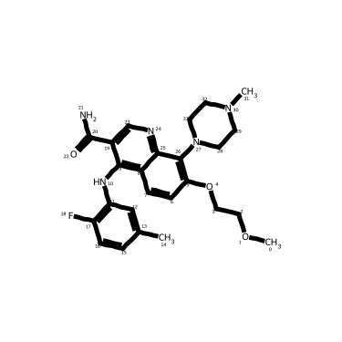 COCCOc1ccc2c(Nc3cc(C)ccc3F)c(C(N)=O)cnc2c1N1CCN(C)CC1